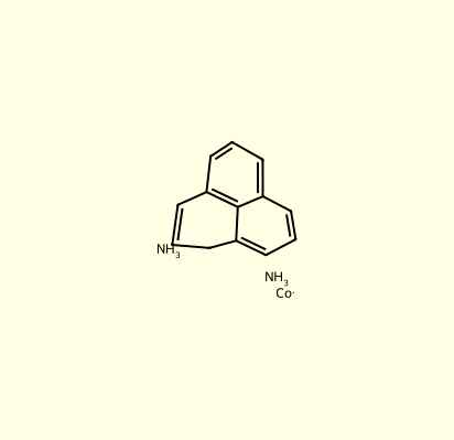 C1=Cc2cccc3cccc(c23)C1.N.N.[Co]